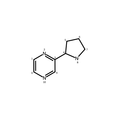 c1cnc(C2CCC[N]2)cn1